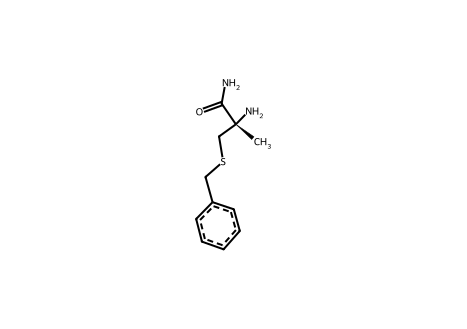 C[C@@](N)(CSCc1ccccc1)C(N)=O